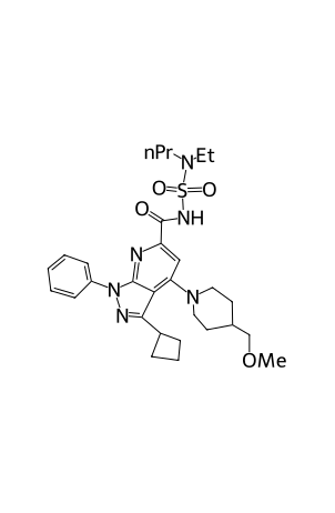 CCCN(CC)S(=O)(=O)NC(=O)c1cc(N2CCC(COC)CC2)c2c(C3CCC3)nn(-c3ccccc3)c2n1